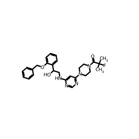 CC(C)(F)C(=O)N1CCN(c2cc(NCC(O)c3ccccc3OCc3ccccc3)ncn2)CC1